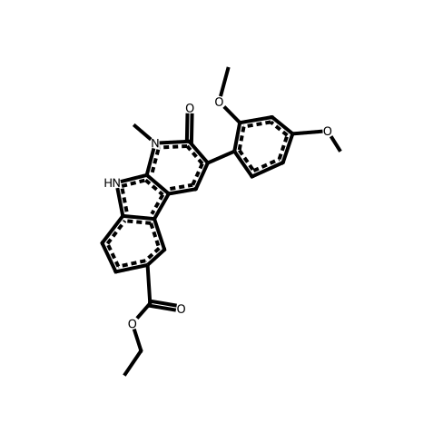 CCOC(=O)c1ccc2[nH]c3c(cc(-c4ccc(OC)cc4OC)c(=O)n3C)c2c1